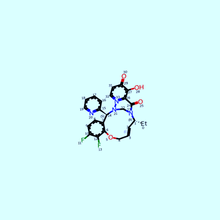 CC[C@@H]1/C=C/COc2c(ccc(F)c2F)[C@@H](c2ccccn2)N2CN1C(=O)c1c(O)c(=O)ccn12